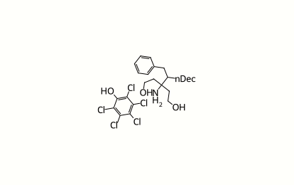 CCCCCCCCCCC(Cc1ccccc1)C(N)(CCO)CCO.Oc1c(Cl)c(Cl)c(Cl)c(Cl)c1Cl